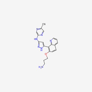 N#Cc1cnc(Nc2cc(-c3c(OCCCN)ccc4cccnc34)[nH]n2)cn1